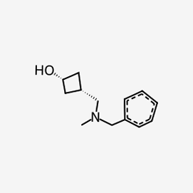 CN(Cc1ccccc1)C[C@H]1C[C@@H](O)C1